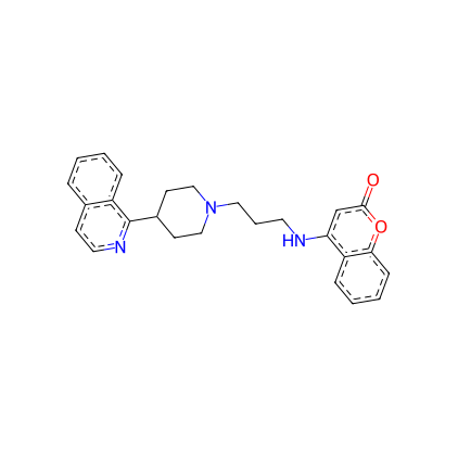 O=c1cc(NCCCN2CCC(c3nccc4ccccc34)CC2)c2ccccc2o1